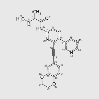 CNC(C)C(=O)Nc1ccc(-c2cncnc2)c(C#Cc2ccc3c(c2)OCCO3)n1